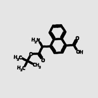 CC(C)(C)OC(=O)C(N)c1ccc(C(=O)O)c2ccccc12